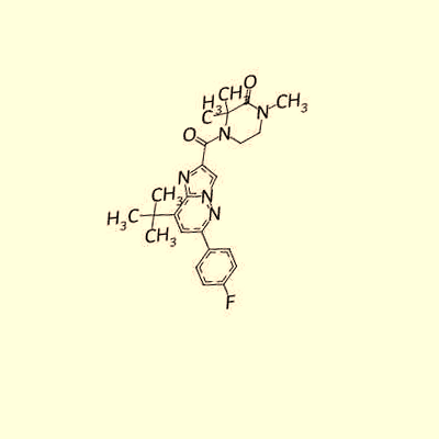 CN1CCN(C(=O)c2cn3nc(-c4ccc(F)cc4)cc(C(C)(C)C)c3n2)C(C)(C)C1=O